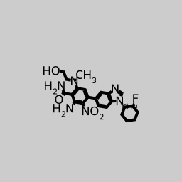 CN(CCO)c1cc(-c2ccc3c(c2)ncn3[C@@H]2CCCC[C@H]2F)c([N+](=O)[O-])c(N)c1C(N)=O